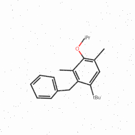 Cc1cc(C(C)(C)C)c(Cc2ccccc2)c(C)c1OC(C)C